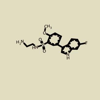 COc1ccc(-c2c[nH]c3cc(F)ccc23)cc1S(=O)(=O)NCCN